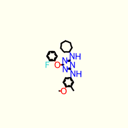 COc1ccc(Nc2nc(NC3CCCCCC3)nc(Oc3ccccc3F)n2)cc1C